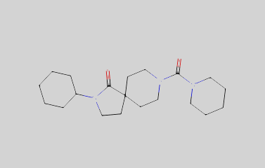 O=C(N1CCCCC1)N1CCC2(CC1)CCN(C1CCCCC1)C2=O